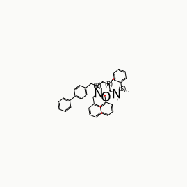 C[C@H](C[C@H](Cc1ccc(-c2ccccc2)cc1)N(Cc1ccccc1)Cc1ccccc1)C(=O)N(C)[C@@H](C)c1ccccc1